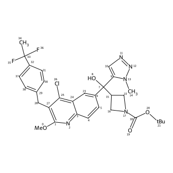 COc1nc2ccc(C(O)(c3cnnn3C)C3CN(C(=O)OC(C)(C)C)C3)cc2c(Cl)c1Cc1ccc(C(C)(F)F)cc1